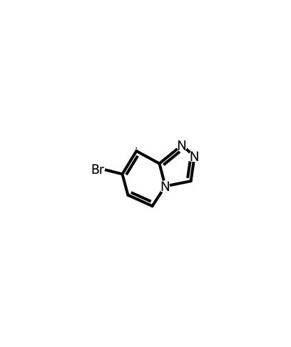 Brc1[c]c2nncn2cc1